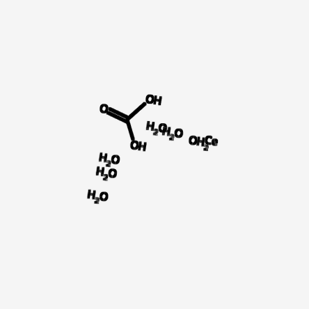 O.O.O.O.O.O.O=C(O)O.[Ce]